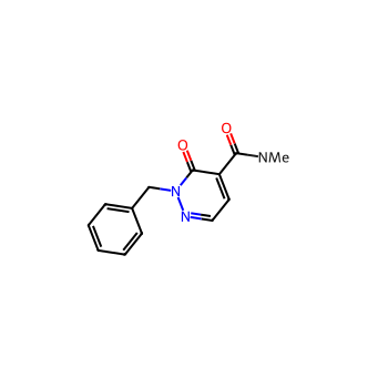 CNC(=O)c1ccnn(Cc2ccccc2)c1=O